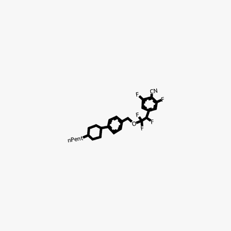 CCCCCC1CCC(c2ccc(COC(F)(F)C(F)c3cc(F)c(C#N)c(F)c3)cc2)CC1